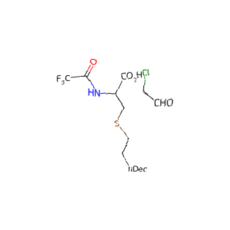 CCCCCCCCCCCCSCC(NC(=O)C(F)(F)F)C(=O)O.O=CCCl